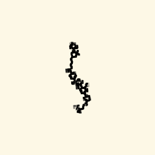 CC(C)(C)OC(=O)N1CC(CCCCNc2ccc(S(=O)(=O)NC(=O)c3ccc(-n4ccc(OCCC5(C(F)(F)F)CC5)n4)nc3Cl)cn2)CC1(C)C